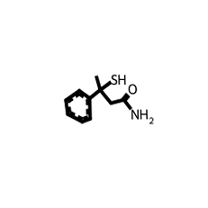 CC(S)(CC(N)=O)c1ccccc1